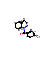 N#Cc1ccc(C(=O)N2CCCc3ccccc32)cc1